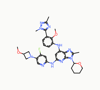 COc1c(Nc2cc(Nc3cc(F)c(N4CC(OC)C4)cn3)nc3c2nc(C)n3C2CCCCO2)cccc1-c1nc(C)nn1C